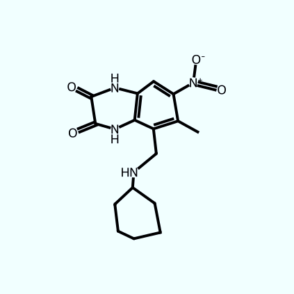 Cc1c([N+](=O)[O-])cc2[nH]c(=O)c(=O)[nH]c2c1CNC1CCCCC1